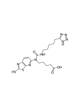 O=C(O)CCCCN(C(=O)NCCCCCc1nnn[nH]1)c1ccc2nc(S)sc2n1